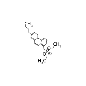 CCCCc1ccc2c(ccc3c(CP(=O)(OCC)OCC)cccc32)c1